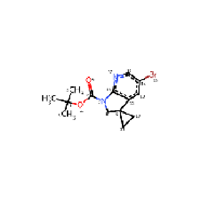 CC(C)(C)OC(=O)N1CC2(CC2)c2cc(Br)cnc21